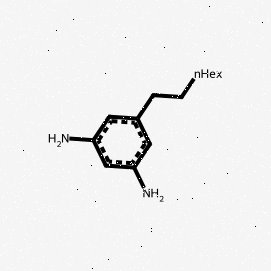 CCCCCCCCc1cc(N)cc(N)c1